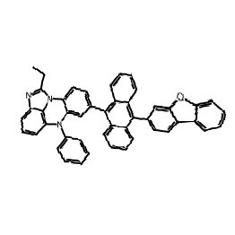 CCc1nc2cccc3c2n1-c1ccc(-c2c4ccccc4c(-c4ccc5c(c4)oc4ccccc45)c4ccccc24)cc1N3c1ccccc1